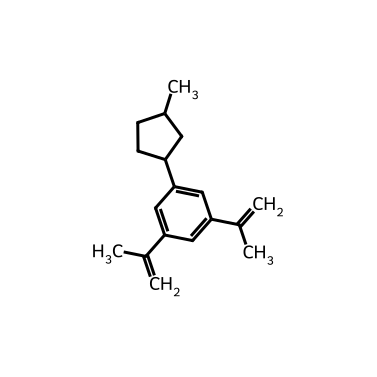 C=C(C)c1cc(C(=C)C)cc(C2CCC(C)C2)c1